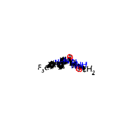 C=CC(=O)Nc1nc(C(=O)N2CCc3c(cccc3Nc3ccc(C(F)(F)F)cc3)C2)c[nH]1